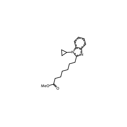 COC(=O)CCCCCCc1nc2ccccc2n1C1CC1